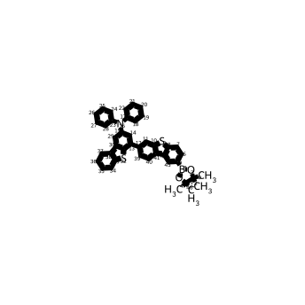 CC1(C)OB(c2ccc3sc4cc(-c5cc(N(c6ccccc6)c6ccccc6)cc6c5sc5ccccc56)ccc4c3c2)OC1(C)C